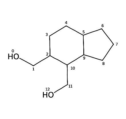 OCC1CCC2CCCC2C1CO